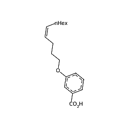 CCCCCC/C=C\CCCOc1cccc(C(=O)O)c1